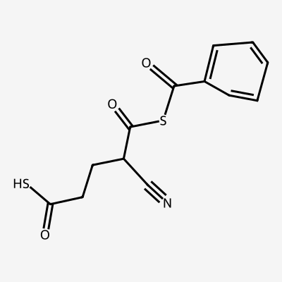 N#CC(CCC(=O)S)C(=O)SC(=O)c1ccccc1